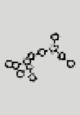 c1ccc(-c2ccc(-c3nc(-c4ccccc4)nc(-c4ccc(-c5ccc6nc(-c7ccc8ccccc8c7)c7c(-c8ccccn8)c(-c8ccccn8)oc7c6c5)cc4)n3)cc2)cc1